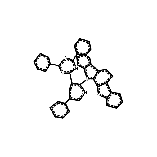 c1ccc(-c2cnc(-n3c4ccccc4c4ccc5c6ccccc6sc5c43)c(-c3nc(-c4ccccc4)nc(-c4ccccc4)n3)c2)cc1